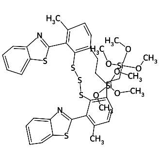 CO[Si](CCc1ccc(C)c(-c2nc3ccccc3s2)c1SSSc1c(CC[Si](OC)(OC)OC)ccc(C)c1-c1nc2ccccc2s1)(OC)OC